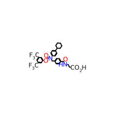 O=C(O)CCNC(=O)c1ccc(CN(C(=O)Oc2cc(C(F)(F)F)cc(C(F)(F)F)c2)c2ccc(C3CCCCC3)cc2)cc1